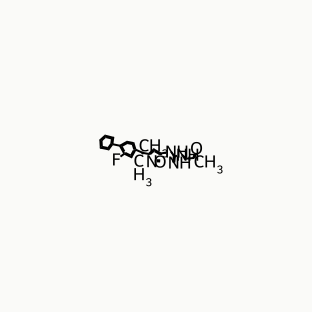 CC(=O)CNC(=N)Nc1cc(C(C)(C)c2ccc(-c3ccccc3)c(F)c2)no1